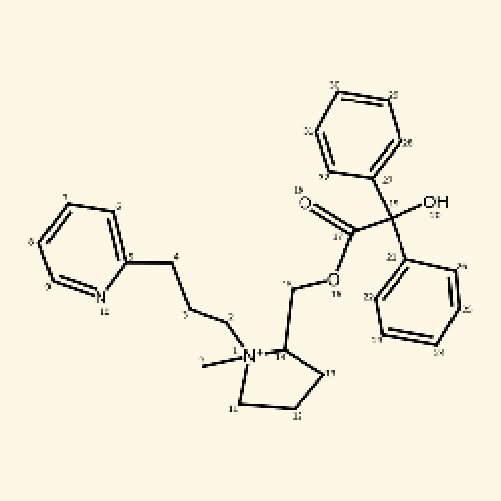 C[N+]1(CCCc2ccccn2)CCCC1COC(=O)C(O)(c1ccccc1)c1ccccc1